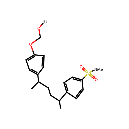 CCOCOc1ccc(C(C)CCC(C)c2ccc(S(=O)(=O)NC)cc2)cc1